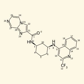 O=C(N[C@@H]1CCC[C@H](Nc2cc(C(F)(F)F)nc3ccccc23)C1)c1cn2ccncc2n1